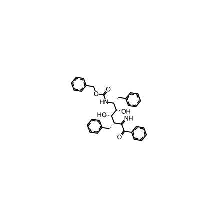 N=C(C(=O)c1ccccc1)[C@H](Cc1ccccc1)[C@H](O)[C@@H](O)[C@@H](Cc1ccccc1)NC(=O)OCc1ccccc1